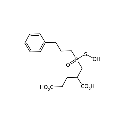 O=C(O)CCC(CP(=O)(CCCc1ccccc1)SO)C(=O)O